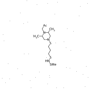 CSNSCCCSN1CC(C)N(CC(C)=O)C(C)C1